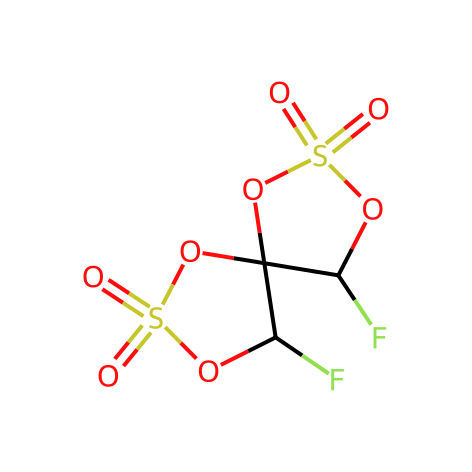 O=S1(=O)OC(F)C2(O1)OS(=O)(=O)OC2F